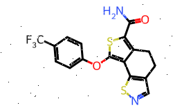 NC(=O)c1sc(Oc2ccc(C(F)(F)F)cc2)c2c1CCc1cnsc1-2